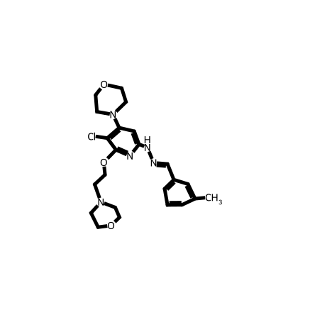 Cc1cccc(/C=N/Nc2cc(N3CCOCC3)c(Cl)c(OCCN3CCOCC3)n2)c1